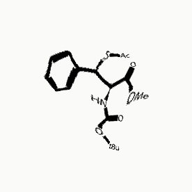 COC(=O)[C@@H](NC(=O)OC(C)(C)C)[C@H](SC(C)=O)c1ccccc1